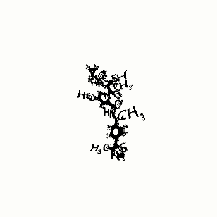 Cc1ncsc1-c1ccc([C@H](C)NC(=O)C2C[C@@H](O)CN2C(=O)[C@@H](NC(=O)C2(F)CC2)C(C)(C)S)cc1